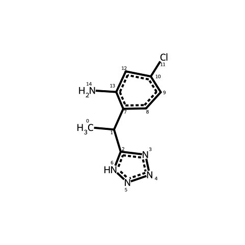 CC(c1nnn[nH]1)c1ccc(Cl)cc1N